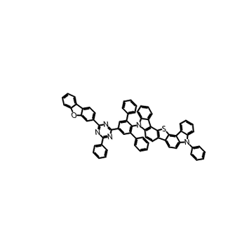 c1ccc(-c2nc(-c3cc(-c4ccccc4)c(-n4c5ccccc5c5c6sc7c(ccc8c7c7ccccc7n8-c7ccccc7)c6ccc54)c(-c4ccccc4)c3)nc(-c3ccc4c(c3)oc3ccccc34)n2)cc1